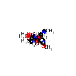 CC[C@]1(O)C[C@H]2CN(CCc3c([nH]c4ccc(-n5ccc(C)n5)cc34)[C@@](C(=O)OC)(c3cc4c(cc3OC)N(C)[C@H]3[C@@](O)(C(=O)OC)[C@H](OC(C)=O)[C@]5(CC)C=CCN6CC[C@]43[C@@H]65)C2)C1